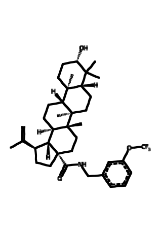 C=C(C)[C@@H]1CC[C@]2(C(=O)NCc3cccc(OC(F)(F)F)c3)CC[C@]3(C)[C@H](CC[C@@H]4[C@@]5(C)CC[C@H](O)C(C)(C)[C@@H]5CC[C@]43C)[C@@H]12